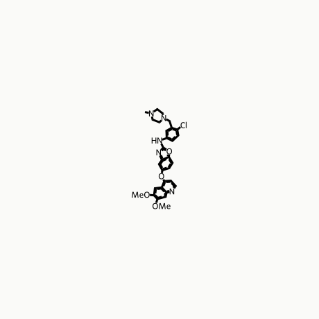 COc1cc2nccc(Oc3ccc4oc(Nc5ccc(Cl)c(CN6CCN(C)CC6)c5)nc4c3)c2cc1OC